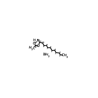 CCCCCCCCCCCC(N)OC(C)=O.N